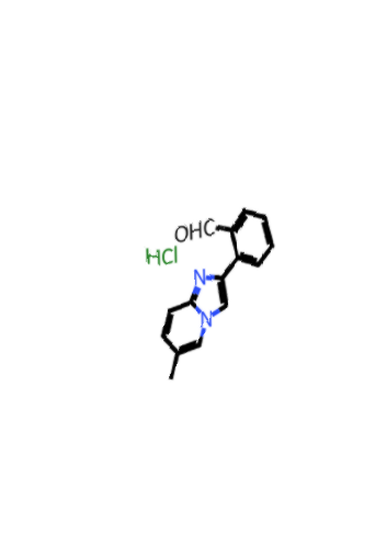 Cc1ccc2nc(-c3ccccc3C=O)cn2c1.Cl